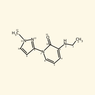 CCNc1cccn(-c2ccn(C)n2)c1=O